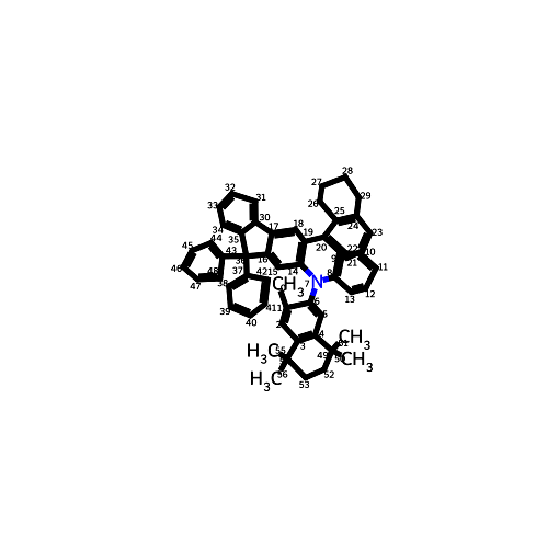 Cc1cc2c(cc1N(c1ccccc1)c1cc3c(cc1-c1cccc4c1CCCC4)-c1ccccc1C3(c1ccccc1)c1ccccc1)C(C)(C)CCC2(C)C